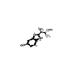 CO[C@H](C)[C@H](N)c1nc2cc(C(C)(C)C)ccc2[nH]1